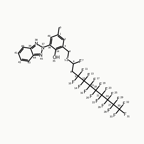 Cc1cc(CSC(F)CC(F)(F)C(F)(F)C(F)(F)C(F)(F)C(F)(F)C(F)(F)C(F)(F)C(F)(F)F)c(O)c(-n2nc3ccccc3n2)c1